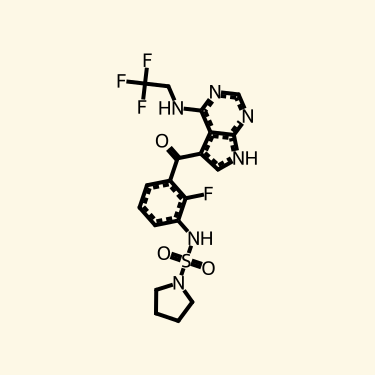 O=C(c1cccc(NS(=O)(=O)N2CCCC2)c1F)c1c[nH]c2ncnc(NCC(F)(F)F)c12